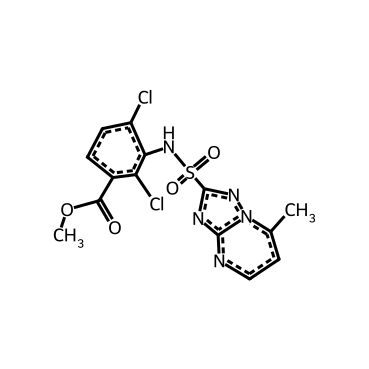 COC(=O)c1ccc(Cl)c(NS(=O)(=O)c2nc3nccc(C)n3n2)c1Cl